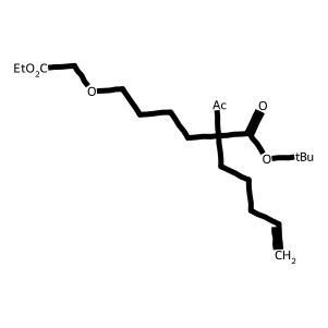 C=CCCCC(CCCCOCC(=O)OCC)(C(C)=O)C(=O)OC(C)(C)C